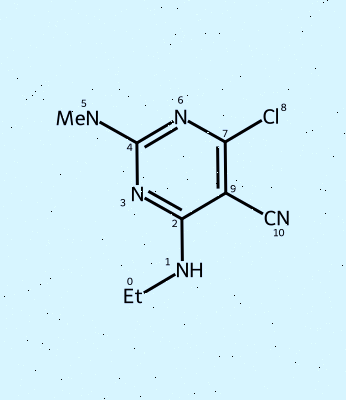 CCNc1nc(NC)nc(Cl)c1C#N